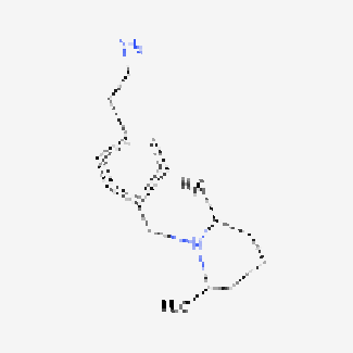 CC1CCCC(C)N1Cc1ccc(CCN)cc1